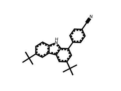 CC(C)(C)c1ccc2[nH]c3c(-c4ccc(C#N)cc4)cc(C(C)(C)C)cc3c2c1